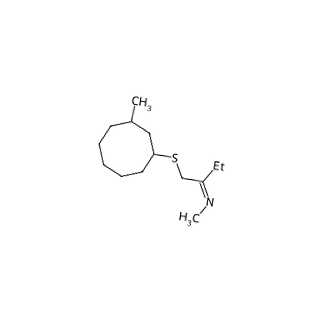 CC/C(CSC1CCCCCC(C)C1)=N/C